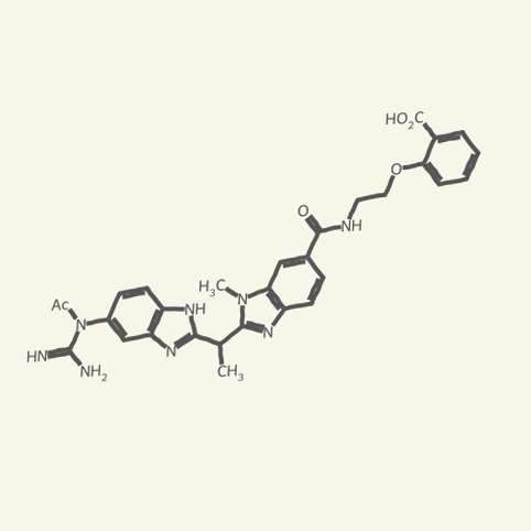 CC(=O)N(C(=N)N)c1ccc2[nH]c(C(C)c3nc4ccc(C(=O)NCCOc5ccccc5C(=O)O)cc4n3C)nc2c1